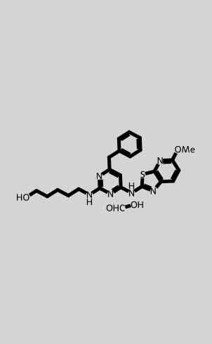 COc1ccc2nc(Nc3cc(Cc4ccccc4)nc(NCCCCCO)n3)sc2n1.O=CO